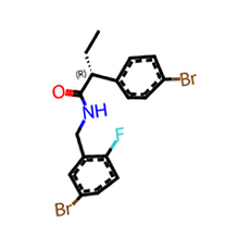 CC[C@@H](C(=O)NCc1cc(Br)ccc1F)c1ccc(Br)cc1